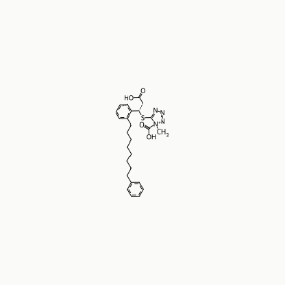 C[N+]1(C(=O)O)N=NN=C1SC(CC(=O)O)c1ccccc1CCCCCCCCc1ccccc1